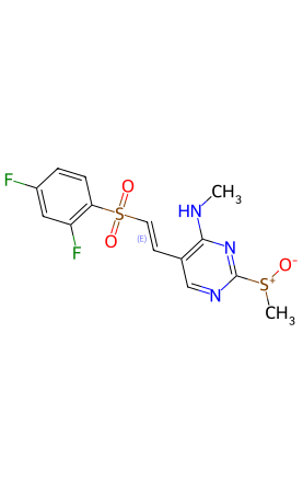 CNc1nc([S+](C)[O-])ncc1/C=C/S(=O)(=O)c1ccc(F)cc1F